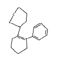 c1ccc(C2=C(C3CCCCC3)CCCC2)cc1